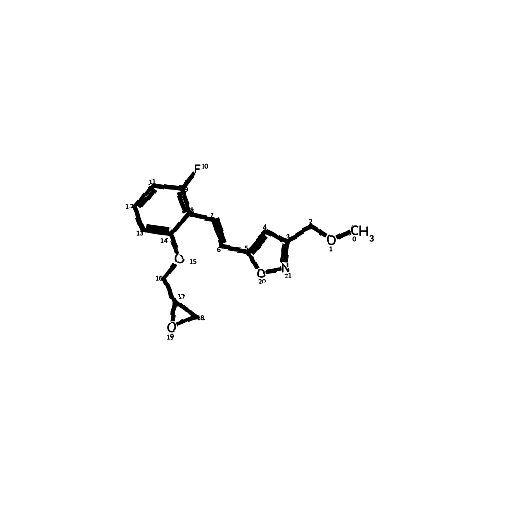 COCc1cc(C=Cc2c(F)cccc2OCC2CO2)on1